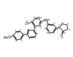 COc1ccc(-c2cccc(-c3nc(Nc4cncc(N5CCCC5=O)c4)ncc3Cl)c2)cc1